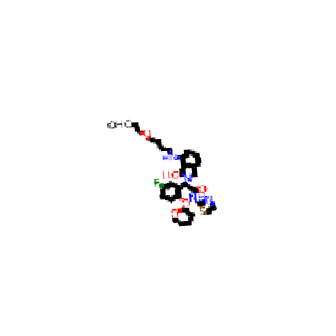 O=CCCOCCCCNc1cccc2c1C(O)N(C(C(=O)Nc1nccs1)C1=C(OC3CCCCO3)CCC(F)=C1)C2